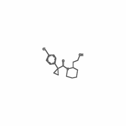 O=C(N1CCCCC1CCO)C1(c2ccc(Cl)cc2)CC1